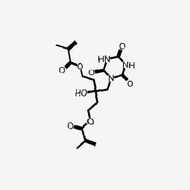 C=C(C)C(=O)OCCC(O)(CCOC(=O)C(=C)C)Cn1c(=O)[nH]c(=O)[nH]c1=O